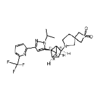 CC(C)n1nc(-c2cccc(C(F)(F)F)n2)cc1[C@]12C3[C@@H](N4CCC5(C4)CS(=O)(=O)C5)C[C@@H]1[C@H]32